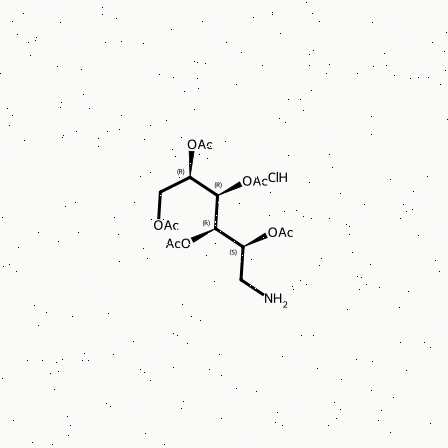 CC(=O)OC[C@@H](OC(C)=O)[C@@H](OC(C)=O)[C@H](OC(C)=O)[C@H](CN)OC(C)=O.Cl